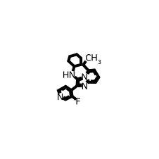 CCc1cccc2nc(-c3ccncc3F)c(NC3CCCCC3)n12